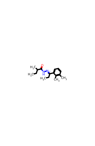 CC/C(=N\NC(=O)C(C)CC)c1cccc(C)c1C